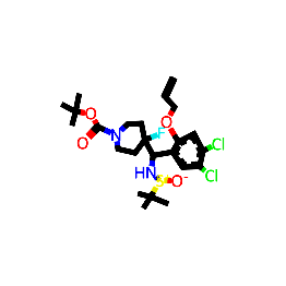 C=CCOc1cc(Cl)c(Cl)cc1C(N[S+]([O-])C(C)(C)C)C1(F)CCN(C(=O)OC(C)(C)C)CC1